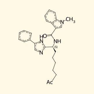 CC(=O)CCCCC[C@H](NC(=O)c1cn(C)c2ccccc12)c1ncc(-c2ccccc2)[nH]1